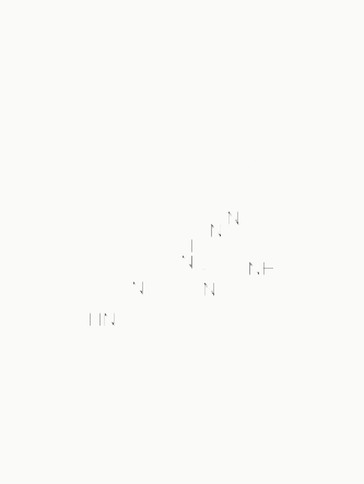 c1ccc(CCn2cc3c(n2)C(NCCN2CCNCC2)=NC(Cc2ccccc2)CN3)cc1